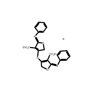 CCOC(=O)C1=C(OC2=C(C(=O)OCC)C(=Nc3ccccc3)OC2)COC1=Nc1ccccc1.[K]